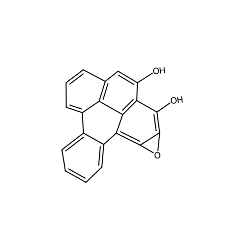 Oc1cc2cccc3c4ccccc4c4c5oc5c(O)c1c4c23